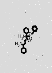 NC(CCC(=O)C(N)(C(=O)OCc1ccccc1)C1CCCCC1)C1CCCCC1